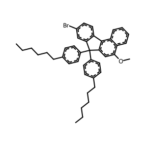 CCCCCCc1ccc(C2(c3ccc(CCCCCC)cc3)c3cc(Br)ccc3-c3c2cc(OC)c2ccccc32)cc1